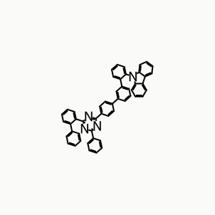 c1ccc(-c2nc(-c3ccc(-c4cccc(-c5ccccc5-n5c6ccccc6c6ccccc65)c4)cc3)nc(-c3ccccc3-c3ccccc3)n2)cc1